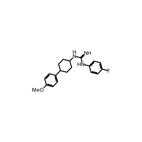 COc1ccc(C2CCC(NC(=N)Nc3ccc(F)cc3)CC2)cc1